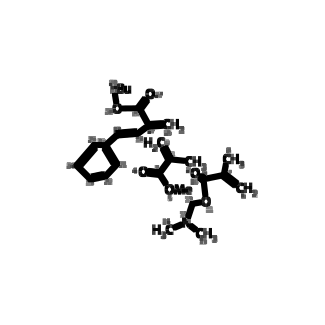 C=C(C)C(=O)OC.C=C(C)C(=O)OCN(C)C.C=C(C=Cc1ccccc1)C(=O)OCCCC